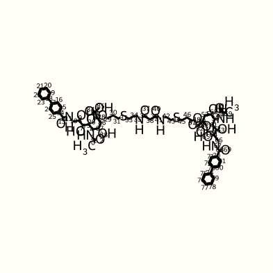 CC(=O)N[C@H]1[C@H]([C@H](O)[C@H](O)CNC(=O)c2ccc(-c3ccccc3)cc2)O[C@@](OCCCSCCNC(=O)CC(=O)NCCSCCCO[C@]2(C(=O)O)C[C@H](O)[C@@H](NC(C)=O)[C@H]([C@H](O)[C@H](O)CNC(=O)c3ccc(-c4ccccc4)cc3)O2)(C(=O)O)C[C@@H]1O